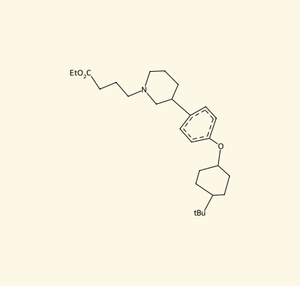 CCOC(=O)CCCN1CCCC(c2ccc(OC3CCC(C(C)(C)C)CC3)cc2)C1